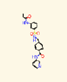 C=CC(=O)Nc1cccc(S(=O)(=O)NCc2ccc(C(=O)Nc3cccnc3)cc2)c1